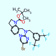 CC(C)(C)OC(=O)N1CCc2cccc(CN(Cc3cc(C(F)(F)F)cc(C(F)(F)F)c3)c3ncc(Br)cn3)c21